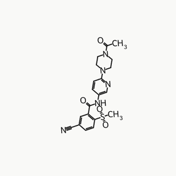 CC(=O)N1CCN(c2ccc(NC(=O)c3cc(C#N)ccc3S(C)(=O)=O)cn2)CC1